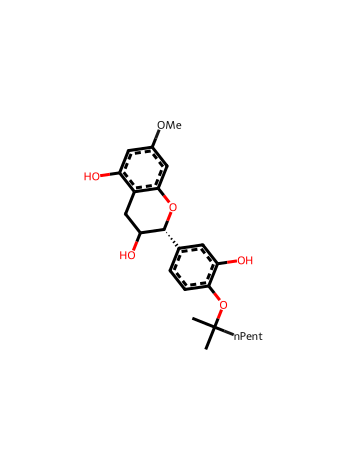 CCCCCC(C)(C)Oc1ccc([C@H]2Oc3cc(OC)cc(O)c3CC2O)cc1O